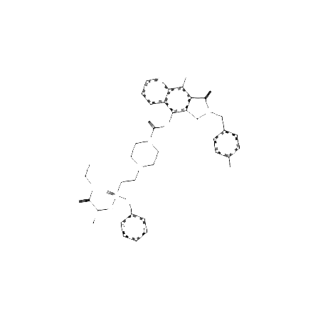 CCOC(=O)[C@H](C)NP(=O)(CCN1CCN(C(=O)Oc2c3c(c(O)c4ncccc24)C(=O)N(Cc2ccc(F)cc2)C3)CC1)Oc1ccccc1